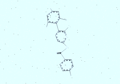 Nc1nc(NC(=O)c2ccc(Cl)cc2)ccc1-c1c(F)cc(F)cc1F